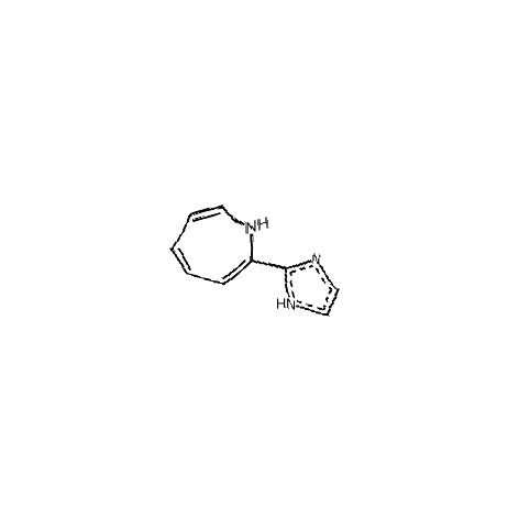 C1=CC=C(c2ncc[nH]2)NC=C1